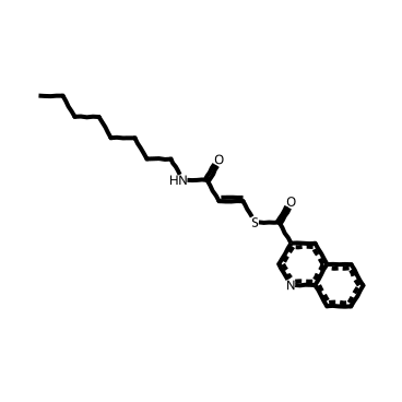 CCCCCCCCNC(=O)C=CSC(=O)c1cnc2ccccc2c1